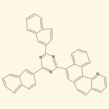 c1ccc2cc(-c3nc(-c4ccc5ccccc5c4)nc(-c4cc5ccc6cccnc6c5c5ccccc45)n3)ccc2c1